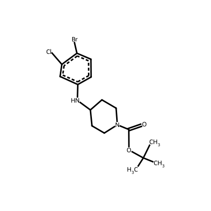 CC(C)(C)OC(=O)N1CCC(Nc2ccc(Br)c(Cl)c2)CC1